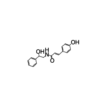 O=C(/C=C/c1ccc(O)cc1)NCC(O)c1ccccc1